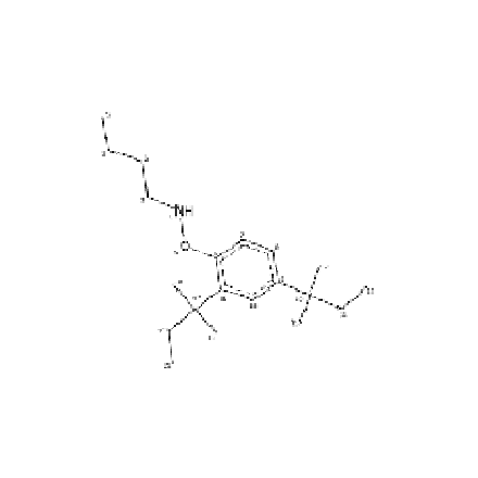 CCCCNOc1ccc(C(C)(C)CC)cc1C(C)(C)CC